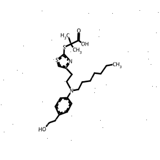 CCCCCCCN(CCc1csc(SC(C)(C)C(=O)O)n1)c1ccc(CCO)cc1